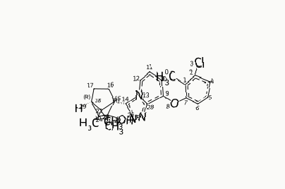 Cc1c(Cl)cccc1Oc1cccn2c([C@]34CC[C@H](CC3(C)O)C4(C)C)nnc12